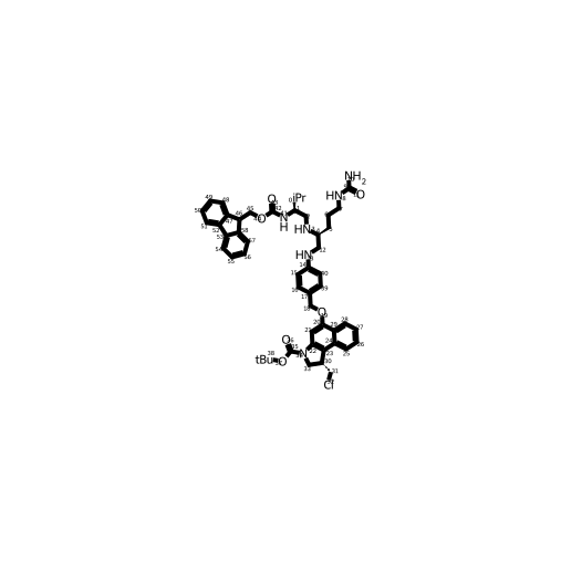 CC(C)[C@@H](CN[C@@H](CCCNC(N)=O)CNc1ccc(COc2cc3c(c4ccccc24)[C@H](CCl)CN3C(=O)OC(C)(C)C)cc1)NC(=O)OCC1c2ccccc2-c2ccccc21